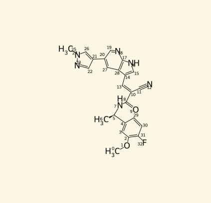 COc1cc([C@@H](C)NC(=O)/C(C#N)=C/c2c[nH]c3ncc(-c4cnn(C)c4)cc23)ccc1F